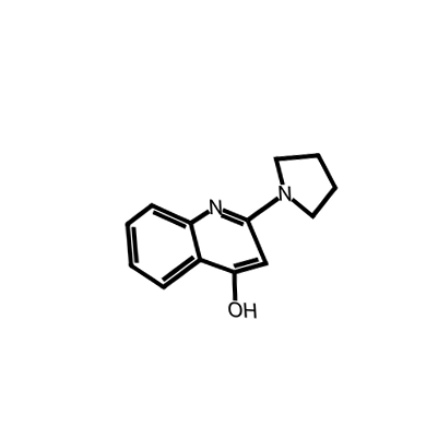 Oc1cc(N2CCCC2)nc2ccccc12